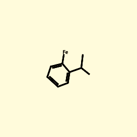 CC(C)c1cccc[c]1[Fe]